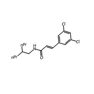 CCCC(CCC)CNC(=O)/C=C/c1cc(Cl)cc(Cl)c1